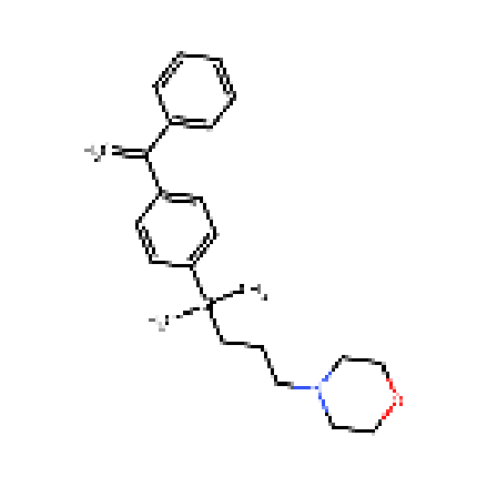 C=C(c1ccccc1)c1ccc([Si](C)(C)CCCN2CCOCC2)cc1